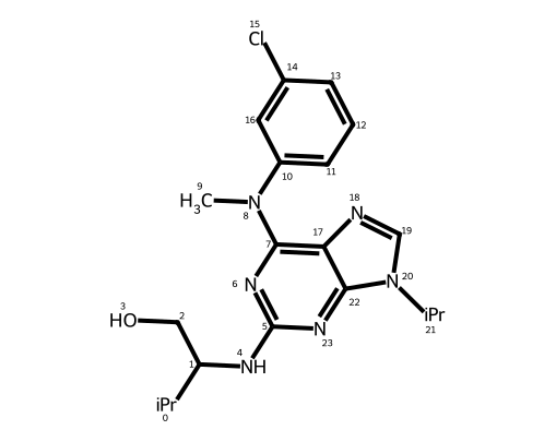 CC(C)C(CO)Nc1nc(N(C)c2cccc(Cl)c2)c2ncn(C(C)C)c2n1